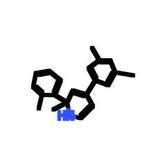 Cc1cc(C)cc(C2=CC(C)(c3ccccc3C)NC=C2)c1